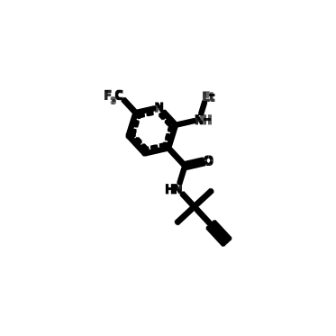 C#CC(C)(C)NC(=O)c1ccc(C(F)(F)F)nc1NCC